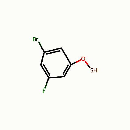 Fc1cc(Br)cc(OS)c1